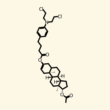 CC(=O)O[C@H]1CC[C@H]2[C@@H]3CCC4CC(OC(=O)CCCc5ccc(N(CCCl)CCCl)cc5)=CC[C@]4(C)[C@H]3CC[C@]12C